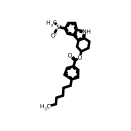 CCCCCCc1ccc(C(=O)OC2CCc3[nH]c4ccc([S+](C)[O-])cc4c3C2)cc1